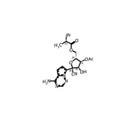 CC(=O)O[C@H]1[C@@H](O)[C@](C#N)(c2ccc3c(N)ncnn23)O[C@@H]1COC(=O)[C@@H](C)C(C)C